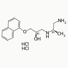 C[C@H](CN)NC[C@@H](O)COc1cccc2ccccc12.Cl.Cl